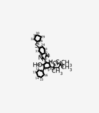 CC(C)(C)CC(C)(C)c1cc(-c2ccccc2)c(O)c(-n2nc3ccc(Sc4ccccc4)cc3n2)c1